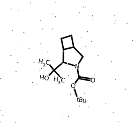 CC(C)(C)OC(=O)N1CC2CCC2C1C(C)(C)O